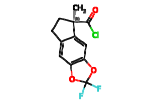 C[C@@]1(C(=O)Cl)CCc2cc3c(cc21)OC(F)(F)O3